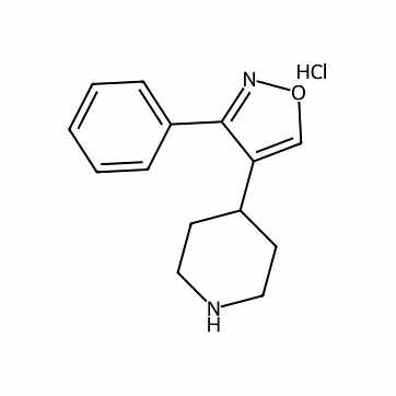 Cl.c1ccc(-c2nocc2C2CCNCC2)cc1